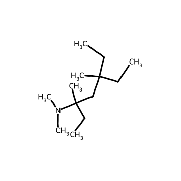 CCC(C)(CC)CC(C)(CC)N(C)C